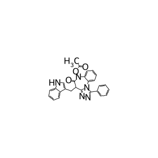 CC(=O)ON1C(=O)C(Cc2c[nH]c3ccccc23)c2nnc(-c3ccccc3)n2-c2ccccc21